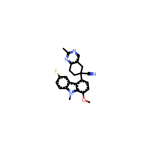 COc1ccc(C2(C#N)CCc3nc(C)ncc3C2)c2c3cc(F)ccc3n(C)c12